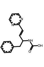 O=C(O)NC(C=Cc1ncccn1)Cc1ccccc1